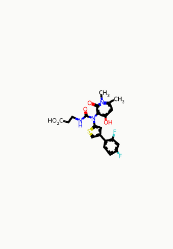 Cc1cc(O)c(N(C(=O)NCCC(=O)O)c2cc(-c3ccc(F)cc3F)cs2)c(=O)n1C